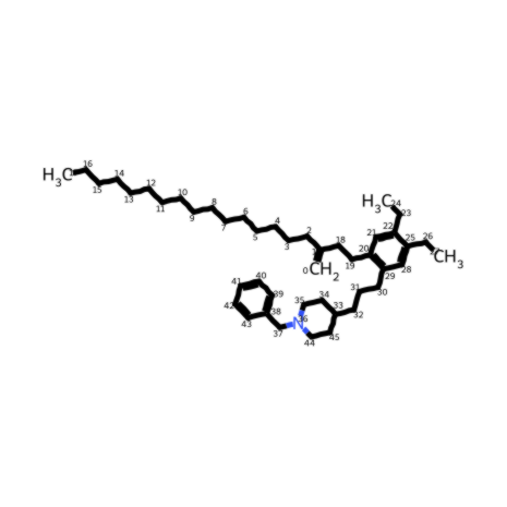 C=C(CCCCCCCCCCCCCCCC)CCc1cc(CC)c(CC)cc1CCCC1CCN(Cc2ccccc2)CC1